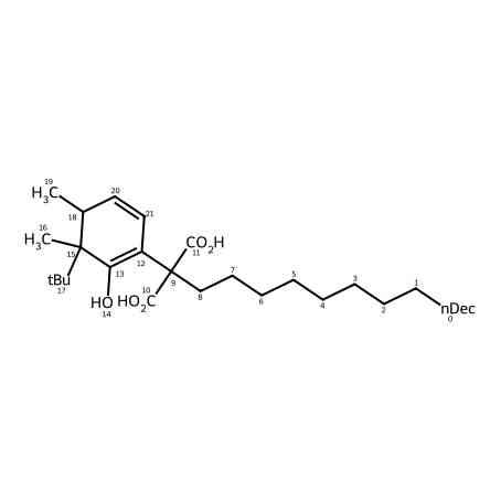 CCCCCCCCCCCCCCCCCCC(C(=O)O)(C(=O)O)C1=C(O)C(C)(C(C)(C)C)C(C)C=C1